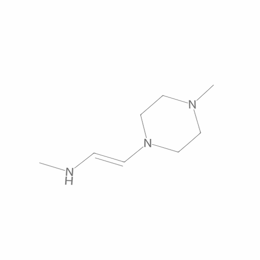 CNC=CN1CCN(C)CC1